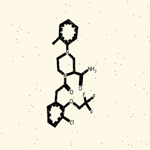 Cc1ccccc1N1CCN(C(=O)Cc2cccc(Cl)c2OCC(F)(F)F)C(C(N)=O)C1